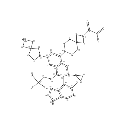 C=C(F)C(=O)N1CC2(CCN(c3nc(N4CCC5(CNC5)C4)nc4c(OCC(F)(F)F)c(-c5c(C)ccc6[nH]ncc56)c(C5CC5)cc34)CC2)C1